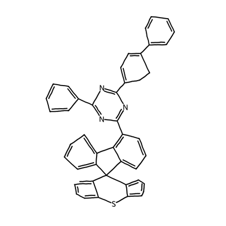 C1=C(c2ccccc2)CCC(c2nc(-c3ccccc3)nc(-c3cccc4c3-c3ccccc3C43c4ccccc4Sc4ccccc43)n2)=C1